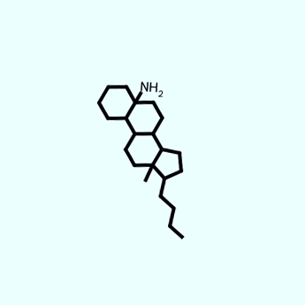 CCCCC1CCC2C3CCC4(N)CCCCC4C3CCC12C